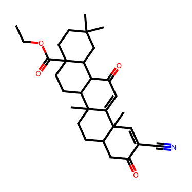 CCOC(=O)C12CCC3C(C(=O)C=C4C5(C)C=C(C#N)C(=O)CC5CCC43C)C1CC(C)(C)CC2